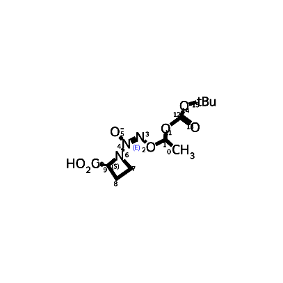 CC(O/N=[N+](/[O-])N1CC[C@H]1C(=O)O)OC(=O)OC(C)(C)C